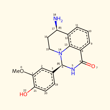 COc1cc([C@@H]2NC(=O)c3cccc4c3N2CC[C@H]4N)ccc1O